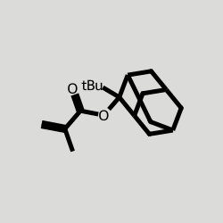 C=C(C)C(=O)OC1(C(C)(C)C)C2CC3CC(C2)CC1C3